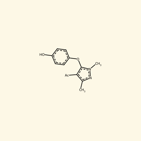 CC(=O)c1c(C)nn(C)c1Oc1ccc(O)cc1